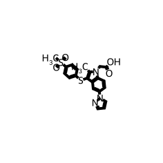 Cc1c(Sc2ccc(S(C)(=O)=O)cc2)c2cc(-n3cccn3)ccc2n1CC(=O)O